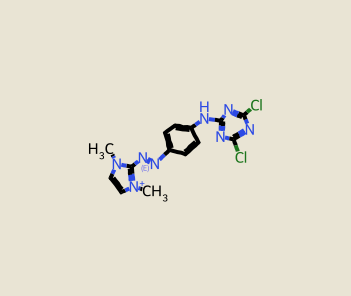 Cn1cc[n+](C)c1/N=N/c1ccc(Nc2nc(Cl)nc(Cl)n2)cc1